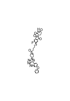 CNc1ncnc2c1c(-c1ccc(Oc3ccccc3)cc1)nn2C1CCN(C(=O)CCCCSc2cc3c(cc2F)C(=O)N(C2CCC(=O)NC2=O)C3=O)CC1